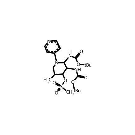 CC1CN(c2ccncc2)C(NC(=O)OC(C)(C)C)C(NC(=O)OC(C)(C)C)C1OS(C)(=O)=O